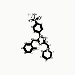 NS(=O)(=O)c1ccc(-n2nc(CN3CC=CCC3)nc2Cc2ccccc2Cl)cc1